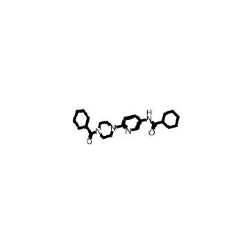 O=C(Nc1ccc(N2CCN(C(=O)C3CCCCC3)CC2)nc1)C1CCCCC1